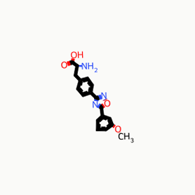 COc1cccc(-c2nc(-c3ccc(C[C@H](N)C(=O)O)cc3)no2)c1